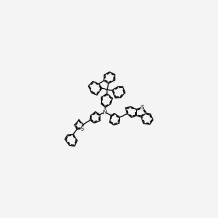 c1ccc(-c2ccc(-c3ccc(N(c4ccc(C5(c6ccccc6)c6ccccc6-c6ccccc65)cc4)c4cccc(-c5ccc6sc7ccccc7c6c5)c4)cc3)s2)cc1